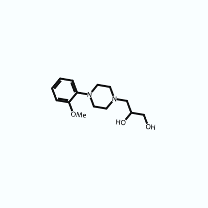 COc1ccccc1N1CCN(CC(O)CO)CC1